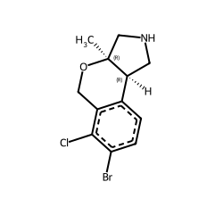 C[C@]12CNC[C@H]1c1ccc(Br)c(Cl)c1CO2